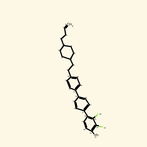 C=CCCC1CCC(CCc2ccc(-c3ccc(-c4ccc(CCC)c(F)c4F)cc3)cc2)CC1